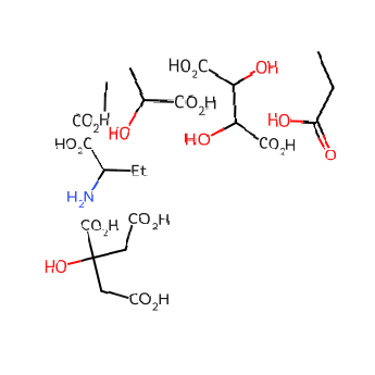 CC(=O)O.CC(O)C(=O)O.CCC(=O)O.CCC(N)C(=O)O.O=C(O)C(O)C(O)C(=O)O.O=C(O)CC(O)(CC(=O)O)C(=O)O